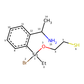 C[CH2][Sn]([Br])([O]CCS)[c]1ccccc1C(C)N